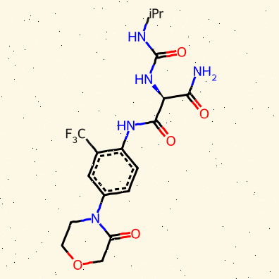 CC(C)NC(=O)N[C@@H](C(N)=O)C(=O)Nc1ccc(N2CCOCC2=O)cc1C(F)(F)F